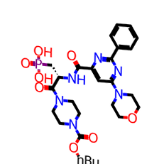 CCCCOC(=O)N1CCN(C(=O)[C@H](CP(=O)(O)O)NC(=O)c2cc(N3CCOCC3)nc(-c3ccccc3)n2)CC1